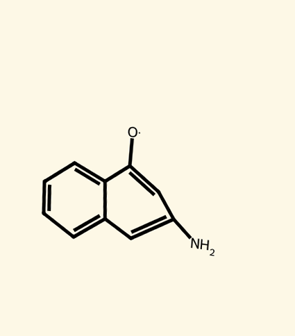 Nc1cc([O])c2ccccc2c1